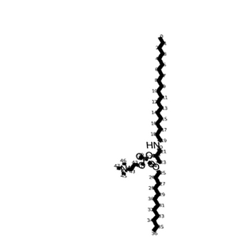 CCCCCCCCCCCCCCCCCCCCNCC(COCCCCCCCCCCCC)OP(=O)([O-])OCC[N+](C)(C)C